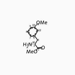 COC(=O)[C@H](N)Cc1cccc(OC)c1